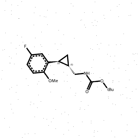 COc1ccc(F)cc1[C@H]1C[C@@H]1CNC(=O)OC(C)(C)C